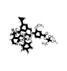 COc1cc(C(=O)OC(C)(C)C)ccc1N(Cc1cc(C2CC2)cc(C(C)(C)C)c1)C(=O)CN(Cc1cnccc1C(F)(F)F)S(=O)(=O)c1c(F)c(F)c(F)c(F)c1F